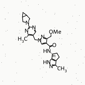 COCc1nn(Cc2cnc(N3CC4CC4C3)nc2C)cc1C(=O)N[C@@H]1CCc2c(C)n[nH]c21